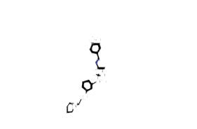 Oc1ccc(/C=C/c2cnc(Nc3cccc(OCCN4CCCC4)c3)s2)cc1